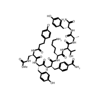 CSC(=O)NC[C@@H](NC(=O)CCc1ccc(Cl)cc1)C(=O)N[C@@H](Cc1ccc(O)cc1)C(=O)N[C@H](Cc1ccc(C(N)=O)cc1)C(=O)N[C@@H](CCCCN)C(=O)NC(C(=O)N[C@@H](C)C(=O)N[C@H](Cc1ccc(O)cc1)C(N)=O)C(C)O